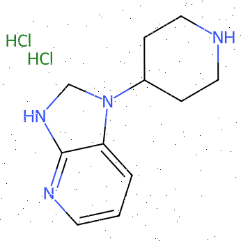 Cl.Cl.c1cnc2c(c1)N(C1CCNCC1)CN2